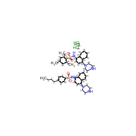 CCCCc1ccc(S(=O)(=O)Nc2ccc(N3CCNCC3)c3ccccc23)cc1.Cc1cc(C)c(S(=O)(=O)Nc2ccc(N3CCNCC3)c3ccccc23)c(C)c1.Cl.Cl.Cl